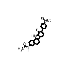 CCN(CC)c1ccc(-c2ccc3c4c([nH]c3c2F)-c2ccc(NC(N)=O)cc2CC4)cc1